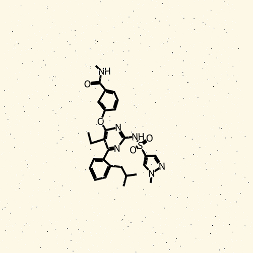 CCc1c(Oc2cccc(C(=O)NC)c2)nc(NS(=O)(=O)c2cnn(C)c2)nc1-c1ccccc1CC(C)C